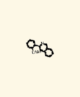 COc1ccccc1-c1cc2ccccc2cn1